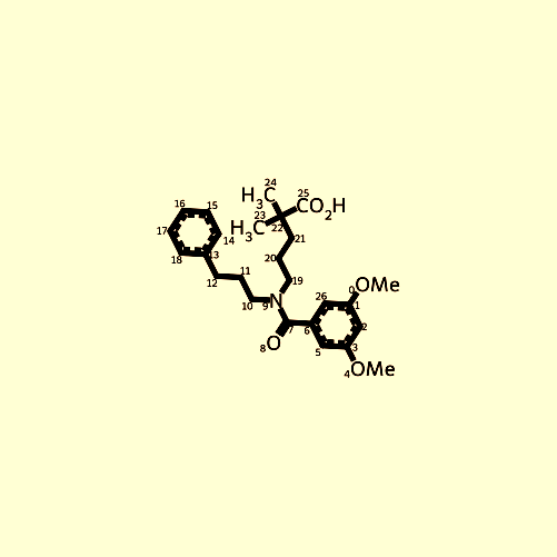 COc1cc(OC)cc(C(=O)N(CCCc2ccccc2)CCCC(C)(C)C(=O)O)c1